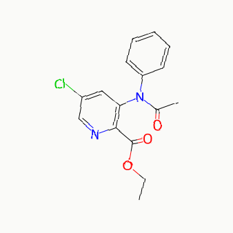 CCOC(=O)c1ncc(Cl)cc1N(C(C)=O)c1ccccc1